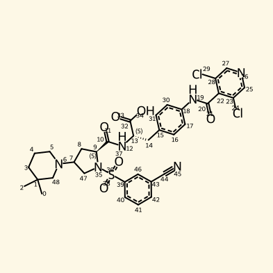 CC1(C)CCCN(C2C[C@@H](C(=O)N[C@@H](Cc3ccc(NC(=O)c4c(Cl)cncc4Cl)cc3)C(=O)O)N(S(=O)(=O)c3cccc(C#N)c3)C2)C1